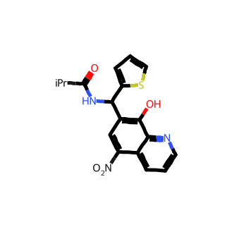 CC(C)C(=O)NC(c1cccs1)c1cc([N+](=O)[O-])c2cccnc2c1O